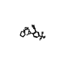 CN1CCC[C@H]1COc1ccc(C(F)(F)F)cc1C#N